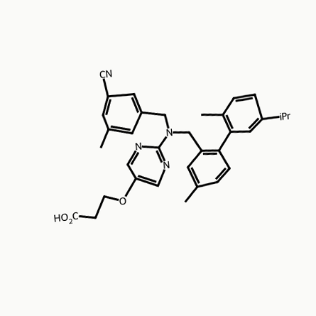 Cc1cc(C#N)cc(CN(Cc2cc(C)ccc2-c2cc(C(C)C)ccc2C)c2ncc(OCCC(=O)O)cn2)c1